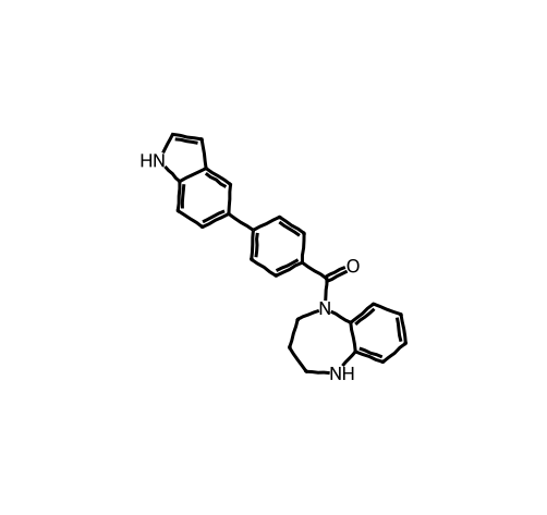 O=C(c1ccc(-c2ccc3[nH]ccc3c2)cc1)N1CCCNc2ccccc21